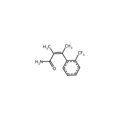 CC(C(N)=O)=C(C)c1ccccc1C(F)(F)F